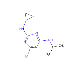 CC(C)Nc1nc(Br)nc(NC2CC2)n1